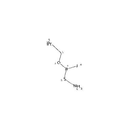 CC(C)COB(I)SN